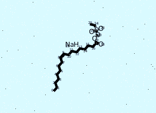 CCCCCCCC/C=C\CCCCCCCC(=O)OOS(=O)(=O)CC.[NaH]